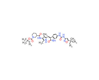 Cc1[nH]c(/C=C2\C(=O)Nc3cc(NC(=O)Nc4cc(C(C)(C)C)on4)ccc32)c(C)c1NC(=O)C1CCCN(C(=O)OC(C)(C)C)C1